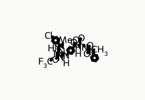 COC(=O)[C@H](CNC(=O)C(=O)N(C)c1ccccc1)NC(=O)c1ccc(Nc2nc(NC3(c4ccc(Cl)cc4)CC3)nc(OCC(F)(F)F)n2)cc1